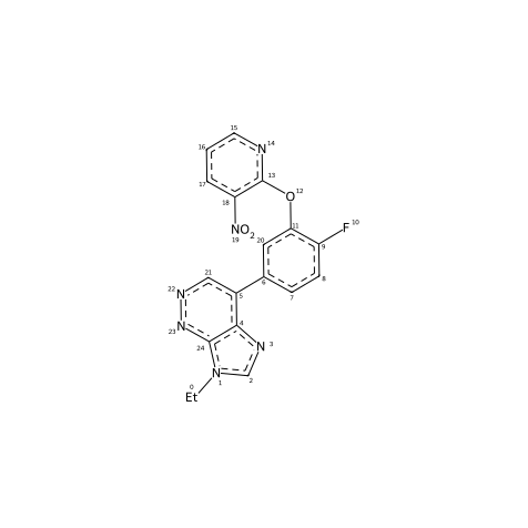 CCn1cnc2c(-c3ccc(F)c(Oc4ncccc4[N+](=O)[O-])c3)cnnc21